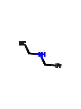 CC(C)CNCC#N